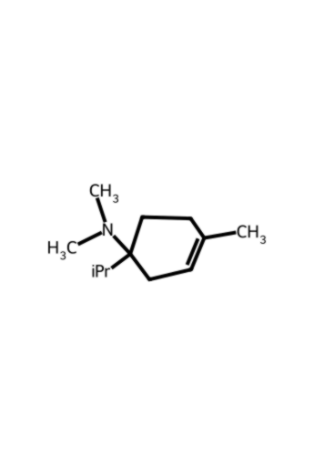 CC1=CCC(C(C)C)(N(C)C)CC1